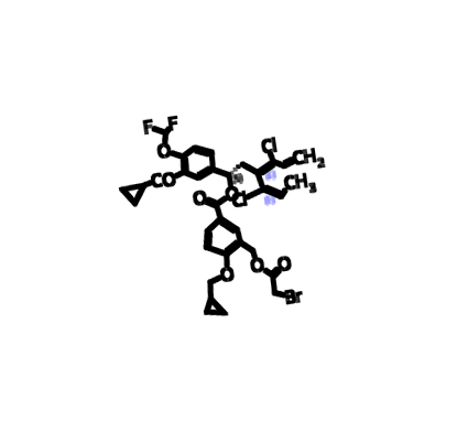 C=C/C(Cl)=C(C[C@H](OC(=O)c1ccc(OCC2CC2)c(COC(=O)CBr)c1)c1ccc(OC(F)F)c(OCC2CC2)c1)\C(Cl)=C/C